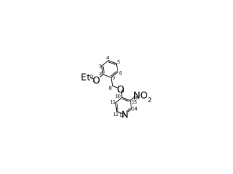 CCOc1ccccc1COc1ccncc1[N+](=O)[O-]